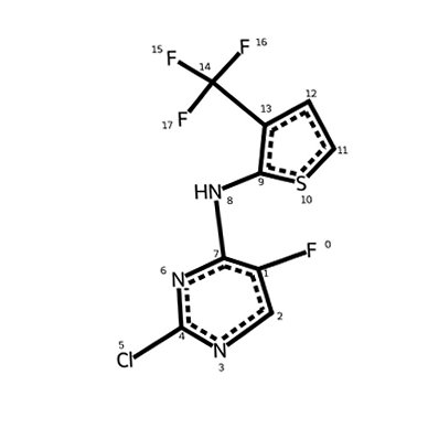 Fc1cnc(Cl)nc1Nc1sccc1C(F)(F)F